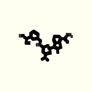 Cc1sc2c(C(N)=O)cccc2c1-c1nc(NCc2cccc(B(O)O)c2)cc(N(C)C)n1